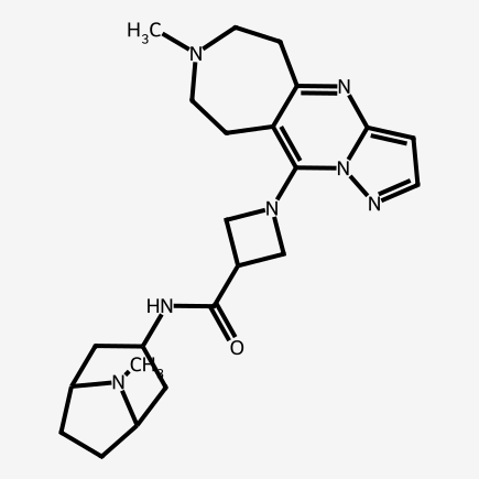 CN1CCc2nc3ccnn3c(N3CC(C(=O)NC4CC5CCC(C4)N5C)C3)c2CC1